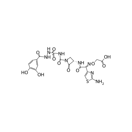 Nc1nc(C(=NOCC(=O)O)C(=O)N[C@H]2CN(C(=O)NS(=O)(=O)NNC(=O)c3ccc(O)c(O)c3)C2=O)cs1